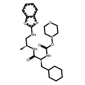 C[C@@H](CNc1nc2ccccc2o1)NC(=O)[C@H](CC1CCCCC1)NC(=O)ON1CCOCC1